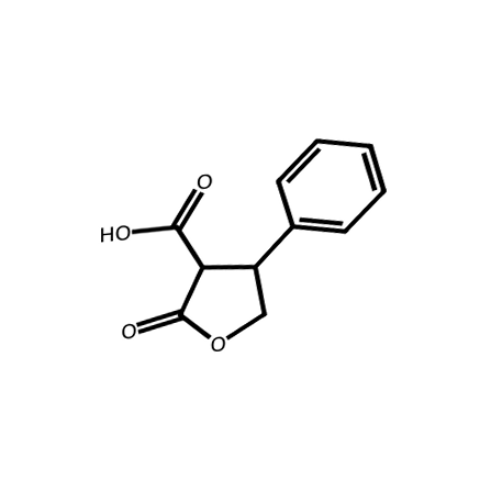 O=C(O)C1C(=O)OCC1c1ccccc1